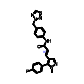 Cn1ncc(/C=C/C(=O)Nc2ccc(Cn3ncnn3)cc2)c1-c1ccc(F)cc1